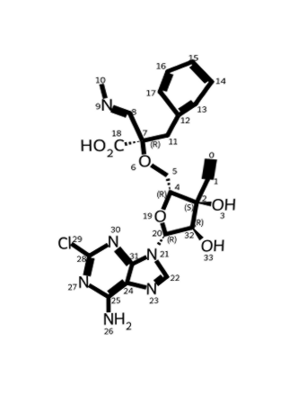 C#C[C@@]1(O)[C@@H](CO[C@@](C=NC)(Cc2ccccc2)C(=O)O)O[C@@H](n2cnc3c(N)nc(Cl)nc32)[C@@H]1O